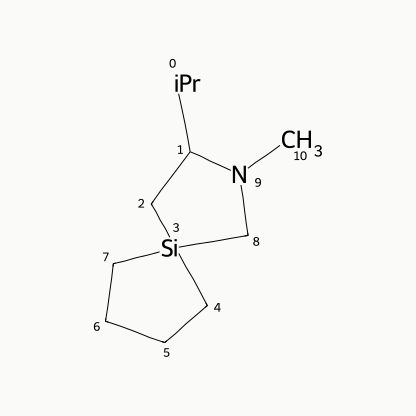 CC(C)C1C[Si]2(CCCC2)CN1C